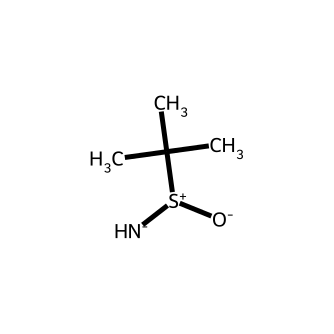 CC(C)(C)[S+]([NH-])[O-]